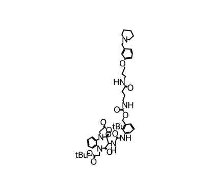 CC(C)(C)OC(=O)CN1C(=O)C(NC(=O)Nc2cccc(COC(=O)NCCCC(=O)NCCCOc3cccc(CN4CCCCC4)c3)c2)C(=O)N(CC(=O)OC(C)(C)C)c2ccccc21